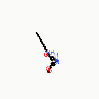 CCCCCCCCCCCCCCCCNC(=O)/C=C/c1ccc(-c2[nH]cnc2-c2ccc(/C=C/C(=O)OC(C)(C)C)cc2)cc1